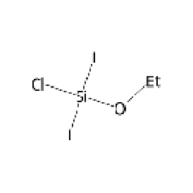 CCO[Si](Cl)(I)I